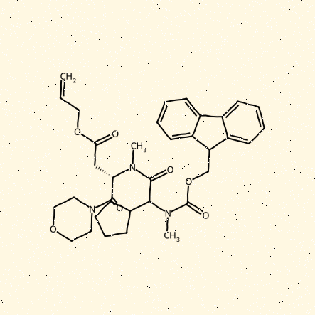 C=CCOC(=O)C[C@@H](C(=O)N1CCOCC1)N(C)C(=O)C(C1CCCC1)N(C)C(=O)OCC1c2ccccc2-c2ccccc21